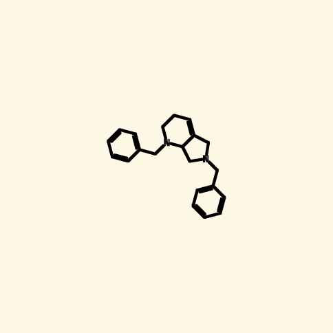 C1=C2CN(Cc3ccccc3)CC2N(Cc2ccccc2)CC1